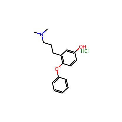 CN(C)CCCc1cc(O)ccc1Oc1ccccc1.Cl